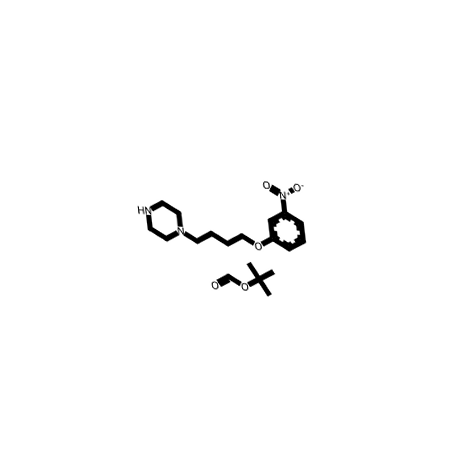 CC(C)(C)OC=O.O=[N+]([O-])c1cccc(OCCCCN2CCNCC2)c1